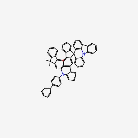 CC1(C)c2ccccc2-c2ccc(N(c3ccc(-c4ccccc4)cc3)c3ccccc3-c3ccc4c(c3)C3(c5ccccc5-4)c4ccccc4-n4c5ccccc5c5cccc3c54)cc21